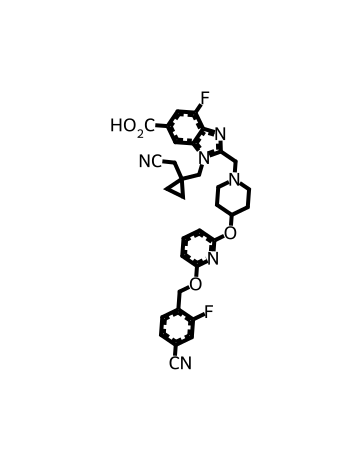 N#CCC1(Cn2c(CN3CCC(Oc4cccc(OCc5ccc(C#N)cc5F)n4)CC3)nc3c(F)cc(C(=O)O)cc32)CC1